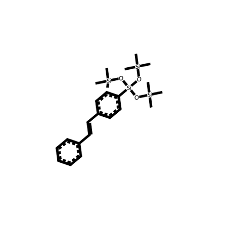 C[Si](C)(C)O[Si](O[Si](C)(C)C)(O[Si](C)(C)C)c1ccc(C=Cc2ccccc2)cc1